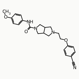 COc1ccc(NC(=O)N2CC3CN(CCOc4ccc(C#N)cc4)CC3C2)cc1